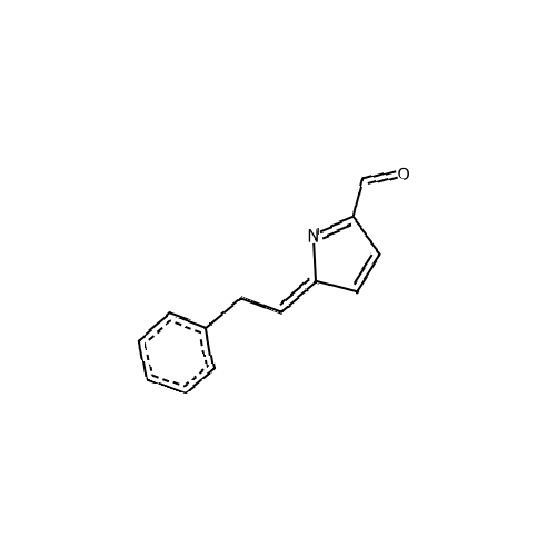 O=CC1=NC(=CCc2ccccc2)C=C1